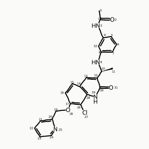 CC(=O)Nc1cccc(N[C@@H](C)c2cc3ccc(OCc4ccccn4)c(Cl)c3[nH]c2=O)c1